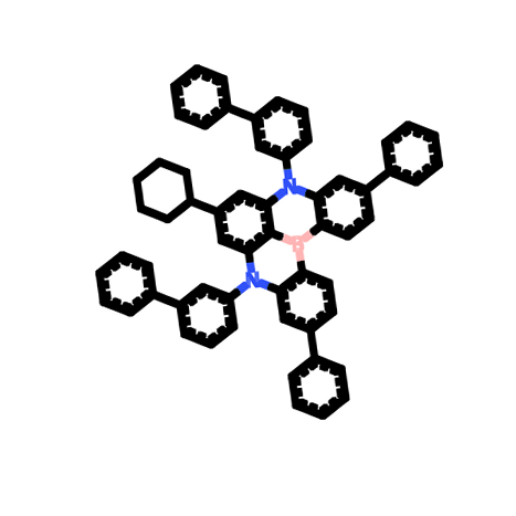 c1ccc(-c2cccc(N3c4cc(-c5ccccc5)ccc4B4c5ccc(-c6ccccc6)cc5N(c5cccc(-c6ccccc6)c5)c5cc(C6CCCCC6)cc3c54)c2)cc1